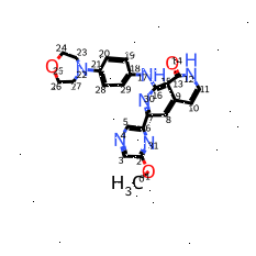 COc1cncc(-c2cc3cc[nH]c(=O)c3c(Nc3ccc(N4CCOCC4)cc3)n2)n1